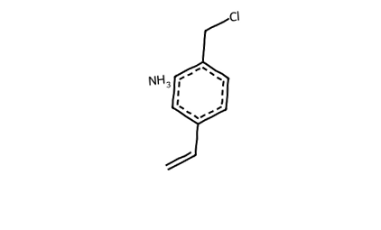 C=Cc1ccc(CCl)cc1.N